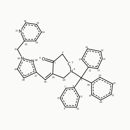 O=C1CCN(C(c2ccccc2)(c2ccccc2)c2ccccc2)CC1=Cc1ccn(Cc2ccccn2)n1